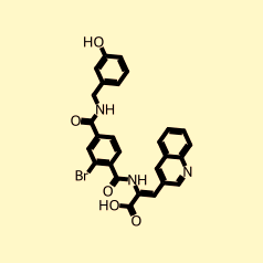 O=C(O)C(=Cc1cnc2ccccc2c1)NC(=O)c1ccc(C(=O)NCc2cccc(O)c2)cc1Br